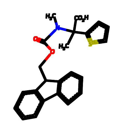 CN(C(=O)OCC1c2ccccc2-c2ccccc21)C(C)(C(=O)O)c1cccs1